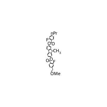 CCCc1ccc(C(=O)Oc2ccc3c(c2)C(C)c2cc(OC(=O)c4ccc(CCOC)cc4F)ccc2-3)c(F)c1